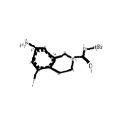 CC(C)(C)OC(=O)N1CCc2c(I)cc(N)cc2C1